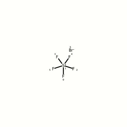 F[S+](F)(F)(F)F.[Br-]